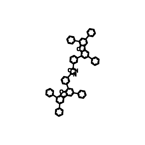 c1ccc(-c2cc(-c3ccccc3)c3oc4c(-c5cccc(-c6nnc(-c7cccc(-c8cc(-c9ccccc9)cc9c8oc8c(-c%10ccccc%10)cc(-c%10ccccc%10)cc89)c7)o6)c5)cc(-c5ccccc5)cc4c3c2)cc1